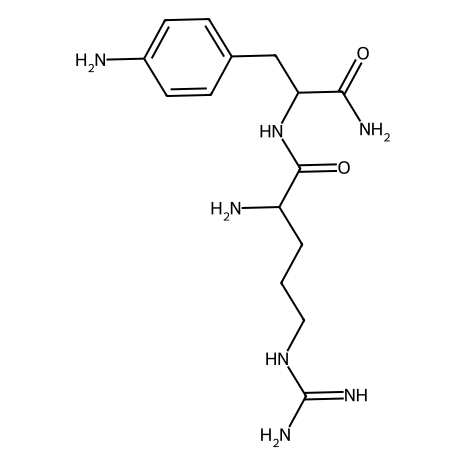 N=C(N)NCCCC(N)C(=O)NC(Cc1ccc(N)cc1)C(N)=O